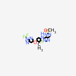 Cc1c(Oc2cnc3c(c2)ncn3C(F)F)ccc(Nc2ncnc3cnc([S+](C)[O-])nc23)c1F